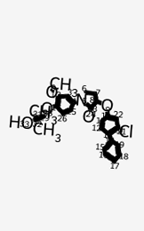 COc1cc(N2CCC(Oc3ccc(-c4ccccc4)c(Cl)c3)C2=O)ccc1OCC(C)(C)O